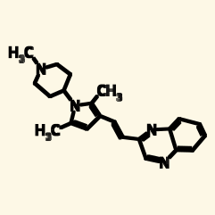 Cc1cc(C=Cc2cnc3ccccc3n2)c(C)n1C1CCN(C)CC1